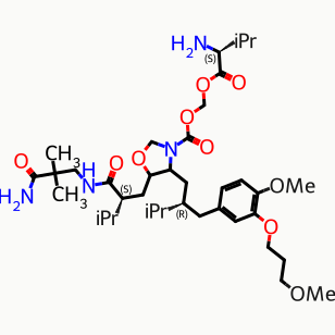 COCCCOc1cc(C[C@H](CC2C(C[C@H](C(=O)NCC(C)(C)C(N)=O)C(C)C)OCN2C(=O)OCOC(=O)[C@@H](N)C(C)C)C(C)C)ccc1OC